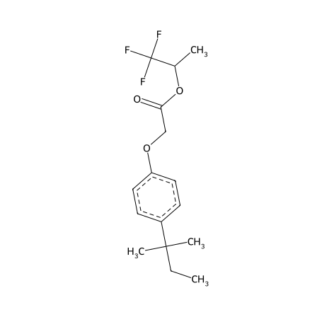 CCC(C)(C)c1ccc(OCC(=O)OC(C)C(F)(F)F)cc1